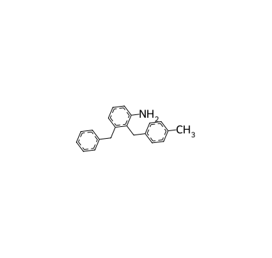 Cc1ccc(Cc2c(N)cccc2Cc2ccccc2)cc1